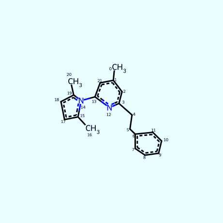 Cc1cc(CCc2ccccc2)nc(-n2c(C)ccc2C)c1